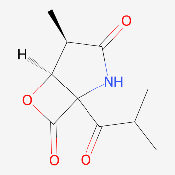 CC(C)C(=O)C12NC(=O)[C@H](C)[C@@H]1OC2=O